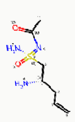 C=CC[C@H](N)C[S@@](N)(=O)=NC(C)=O